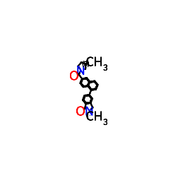 C[C@@H]1CCN(C(=O)c2ccc3c(-c4ccc5c(c4)CN(C)C5=O)cccc3c2)C1